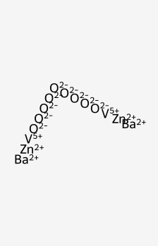 [Ba+2].[Ba+2].[O-2].[O-2].[O-2].[O-2].[O-2].[O-2].[O-2].[O-2].[O-2].[V+5].[V+5].[Zn+2].[Zn+2]